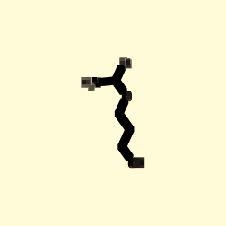 CCC(N)OCCCO